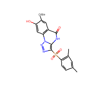 COc1cc2c(=O)[nH]c3c(S(=O)(=O)c4ccc(C)cc4C)nnn3c2cc1O